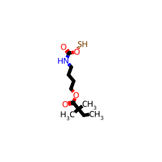 CCC(C)(C)C(=O)OCCCCNC(=O)OS